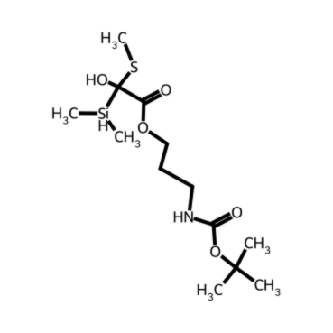 CSC(O)(C(=O)OCCCNC(=O)OC(C)(C)C)[SiH](C)C